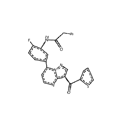 CC(C)CC(=O)Nc1cc(-c2ccnc3c(C(=O)c4cccs4)cnn23)ccc1F